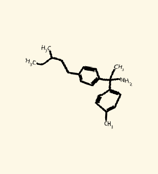 CCC(C)CCc1ccc(C(C)(N)c2ccc(C)cc2)cc1